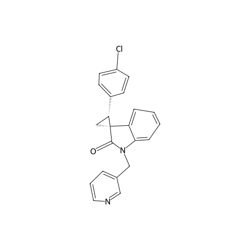 O=C1N(Cc2cccnc2)c2ccccc2[C@@]12C[C@@H]2c1ccc(Cl)cc1